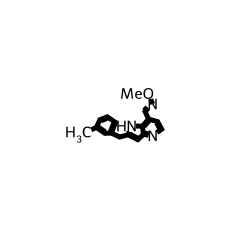 CON=Cc1ccnc2cc(Cc3cccc(C)c3)[nH]c12